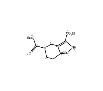 CCOC(=O)c1[nH]nc2c1CN(C(=O)OCC(C)C)CC2